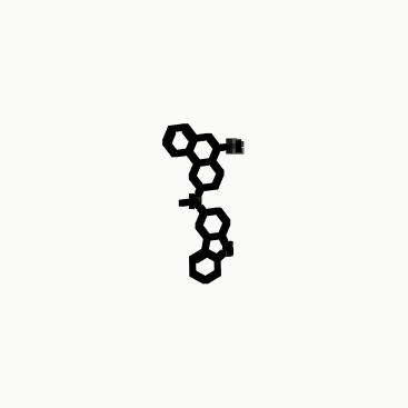 CCC1CC2=CC=CCC2C2CC(N(C)C3CCC4SC5CCCC=C5C4C3)CCC12